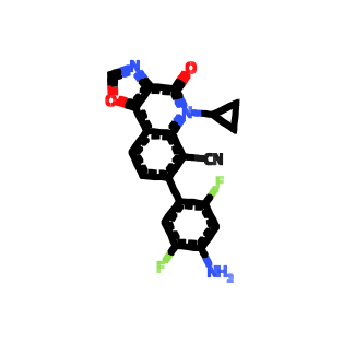 N#Cc1c(-c2cc(F)c(N)cc2F)ccc2c3ocnc3c(=O)n(C3CC3)c12